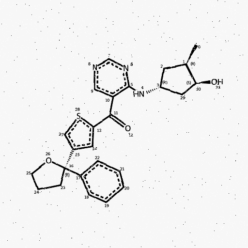 [CH2][C@@H]1C[C@@H](Nc2ncncc2C(=O)c2cc([C@]3(c4ccccc4)CCCO3)cs2)C[C@@H]1O